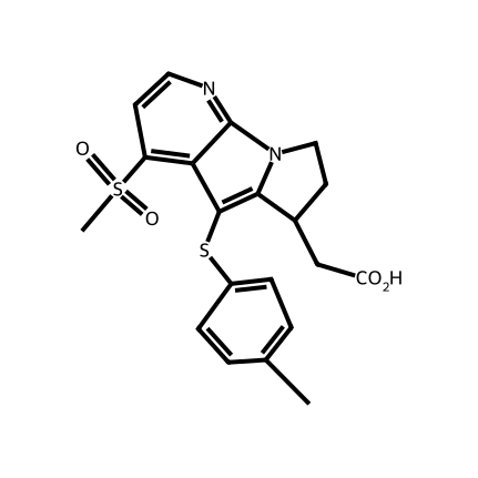 Cc1ccc(Sc2c3n(c4nccc(S(C)(=O)=O)c24)CCC3CC(=O)O)cc1